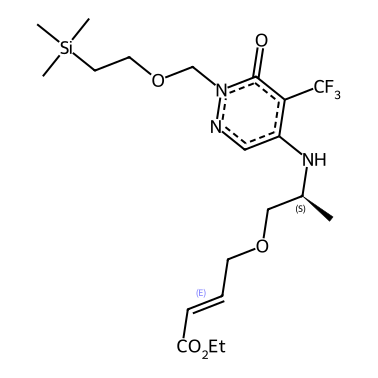 CCOC(=O)/C=C/COC[C@H](C)Nc1cnn(COCC[Si](C)(C)C)c(=O)c1C(F)(F)F